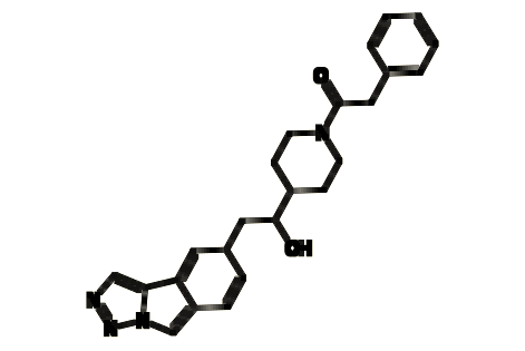 O=C(Cc1ccccc1)N1CCC(C(O)CC2C=Cc3cn4nncc4c3=C2)CC1